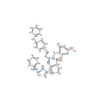 COc1ccc(Cn2c(COc3ccc(Cc4ccccc4)cc3)nc3c(-c4csc(Nc5ccccc5)n4)nccc3c2=O)c(C)c1